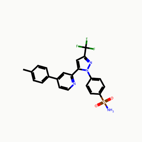 Cc1ccc(-c2ccnc(-c3cc(C(F)(F)F)nn3-c3ccc(S(N)(=O)=O)cc3)c2)cc1